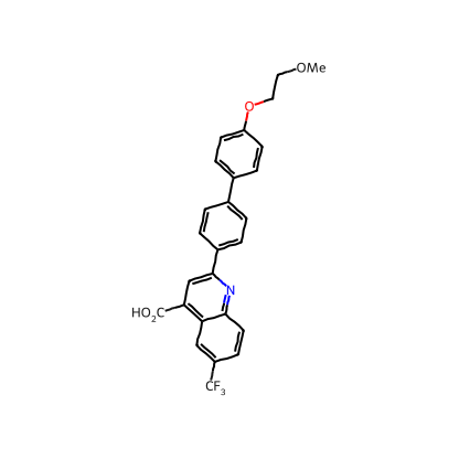 COCCOc1ccc(-c2ccc(-c3cc(C(=O)O)c4cc(C(F)(F)F)ccc4n3)cc2)cc1